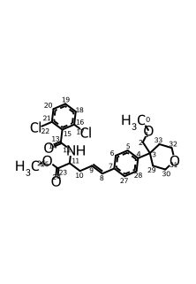 COCC1(c2ccc(/C=C/CC(NC(=O)c3c(Cl)cccc3Cl)C(=O)OC)cc2)CCOCC1